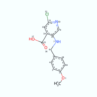 COc1ccc(CNc2cnc(Cl)cc2C(=O)O)cc1